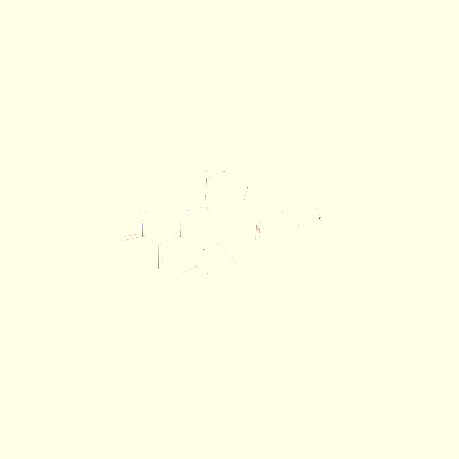 C[C@@H]1CC[C@H](C(=O)NCC(F)(F)F)CN1Nc1c(C(N)=O)cnc2[nH]ccc12